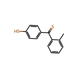 Cc1ccccc1C(=S)c1ccc(S)cc1